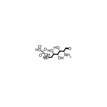 N[C@@H](C=O)[C@@H](O)[C@H](O)[C@H](O)CO.O=S(=O)(O)O.[Cl-].[Li+]